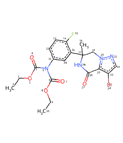 CCOC(=O)N(C(=O)OCC)c1ccc(F)c(C2(C)Cn3ncc(Br)c3C(=O)N2)c1